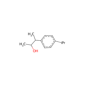 CC(C)c1ccc(C(C)C(C)O)cc1